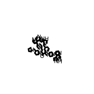 O=C(C(CN1CCN(c2ccnc3cnc4[nH]ccc4c23)CC1)N1CCCC(CN2CCCC2)C1)C(CN1CCN(c2ccnc3cnc4[nH]ccc4c23)CC1)N1CCCC(CN2CCCC2)C1